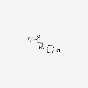 O=C(C=NNc1ccc(Cl)cc1)C(F)(F)F